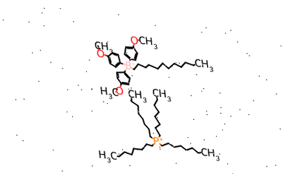 CCCCCCCCCCCC[B-](c1ccc(OC)cc1)(c1ccc(OC)cc1)c1ccc(OC)cc1.CCCCCCCC[P+](CCCCCCCC)(CCCCCCCC)CCCCCCCC